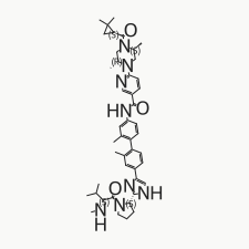 CN[C@H](C(=O)N1CCC[C@H]1c1nc(-c2ccc(-c3ccc(NC(=O)c4ccc(N5C[C@H](C)N(C(=O)[C@H]6CC6(C)C)C[C@H]5C)nc4)cc3C)c(C)c2)c[nH]1)C(C)C